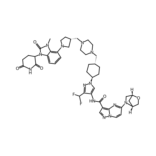 Cn1c(=O)n(C2CCC(=O)NC2=O)c2cccc(N3CC[C@H](CN4CCN(C[C@H]5CC[C@H](n6cc(NC(=O)c7cnn8ccc(N9C[C@H]%10C[C@@H]9CO%10)nc78)c(C(F)F)n6)CC5)CC4)C3)c21